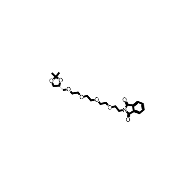 CC1(C)OC[C@@H](COCCOCCOCCOCCN2C(=O)c3ccccc3C2=O)O1